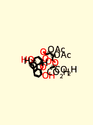 CC(=O)O[C@@H](C(=O)OC1=CC[C@@]2(O)[C@@H]3CCCC24c2c(ccc(O)c2O[C@@H]14)C3)[C@@H](OC(C)=O)C(=O)O[C@@H](CC(=O)O)C(=O)O